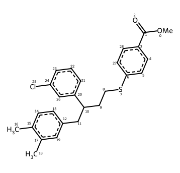 COC(=O)c1ccc(SCCC(Cc2ccc(C)c(C)c2)c2cccc(Cl)c2)cc1